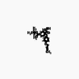 CC#CCOc1ccc(SC2(C(=O)NO)CCN(C(=O)OC(C)(C)C)CC2)cc1